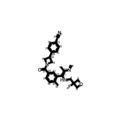 C=N/C(C)=C(\NCC1(F)COC1)c1cc(C(=O)N2CC(c3ccc(C#N)cc3)C2)ccc1C